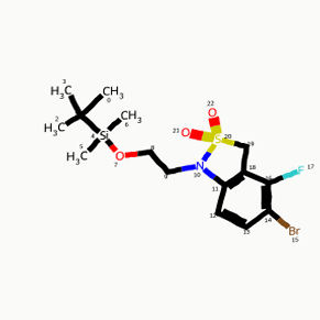 CC(C)(C)[Si](C)(C)OCCN1c2ccc(Br)c(F)c2CS1(=O)=O